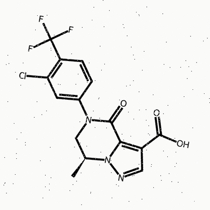 C[C@H]1CN(c2ccc(C(F)(F)F)c(Cl)c2)C(=O)c2c(C(=O)O)cnn21